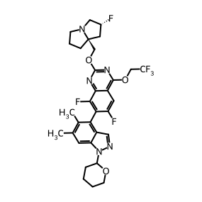 Cc1cc2c(cnn2C2CCCCO2)c(-c2c(F)cc3c(OCC(F)(F)F)nc(OC[C@@]45CCCN4C[C@H](F)C5)nc3c2F)c1C